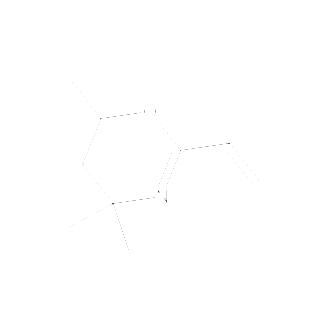 C=CC1=NC(C)(C)CC(C)O1